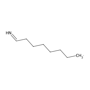 [CH2]CCCCCCC=N